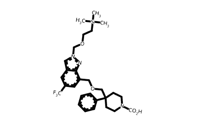 C[Si](C)(C)CCOCn1cc2cc(C(F)(F)F)cc(COCC3(c4ccccc4)CCN(C(=O)O)CC3)c2n1